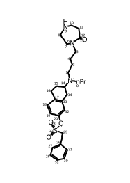 CCCN(CCCCN1CCNCCC1=O)C1CCc2ccc(OS(=O)(=O)Cc3ccccc3)cc2C1